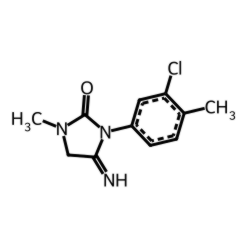 Cc1ccc(N2C(=N)CN(C)C2=O)cc1Cl